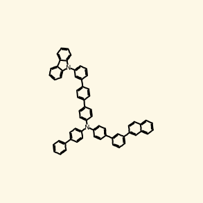 c1ccc(-c2ccc(N(c3ccc(-c4ccc(-c5cccc(-n6c7ccccc7c7ccccc76)c5)cc4)cc3)c3ccc(-c4cccc(-c5ccc6ccccc6c5)c4)cc3)cc2)cc1